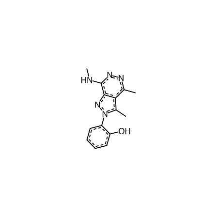 CNc1nnc(C)c2c(C)n(-c3ccccc3O)nc12